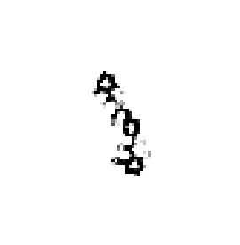 Cc1cccc(Cl)c1C(=O)NC(CO)Cc1ccc(NC(=O)c2c(Cl)cccc2Cl)cc1